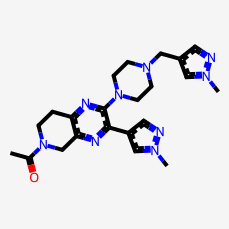 CC(=O)N1CCc2nc(N3CCN(Cc4cnn(C)c4)CC3)c(-c3cnn(C)c3)nc2C1